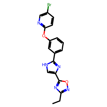 CCc1noc(-c2c[nH]c(-c3cccc(Oc4ccc(Br)cn4)c3)n2)n1